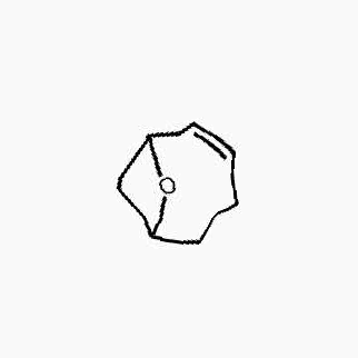 C1=CC2CC(CC1)O2